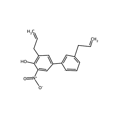 C=CCc1cc[c]c(-c2cc(CC=C)c(O)c([N+](=O)[O-])c2)c1